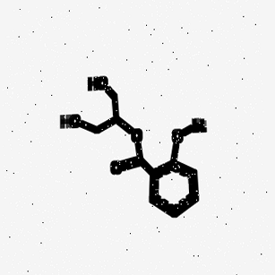 CCOc1ccccc1C(=O)OC(CO)CO